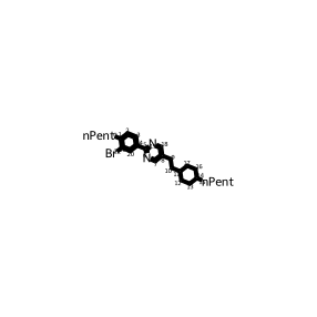 CCCCCc1ccc(-c2ncc(CCC3CCC(CCCCC)CC3)cn2)cc1Br